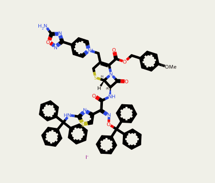 COc1ccc(COC(=O)C2=C(C[n+]3ccc(-c4noc(N)n4)cc3)CS[C@H]3[C@H](NC(=O)C(=NOC(c4ccccc4)(c4ccccc4)c4ccccc4)c4csc(NC(c5ccccc5)(c5ccccc5)c5ccccc5)n4)C(=O)N23)cc1.[I-]